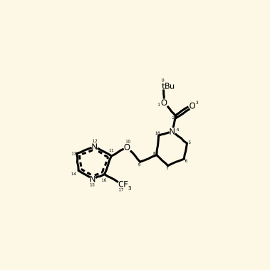 CC(C)(C)OC(=O)N1CCCC(COc2nccnc2C(F)(F)F)C1